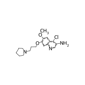 COc1cc2c(Cl)c(N)cnc2cc1OCCCN1CCCCC1